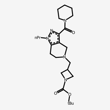 CCCn1nc(C(=O)N2CCCCC2)c2c1CCN(CC1CN(C(=O)OC(C)(C)C)C1)C2